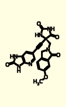 COc1ccc2c(c1)C(=O)N(C[C@@]1(C#Cc3cnc4[nH]c(=O)[nH]c4c3)NC(=O)NC1=O)C2